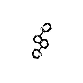 c1ccc(-c2cccc3c(-c4ccccn4)cccc23)nc1